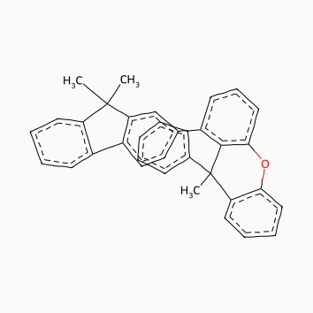 CC1(C)c2ccccc2-c2ccc(-c3cccc4c3C(C)(c3ccccc3)c3ccccc3O4)cc21